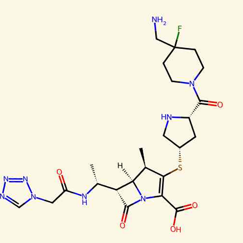 C[C@@H](NC(=O)Cn1cnnn1)[C@H]1C(=O)N2C(C(=O)O)=C(S[C@@H]3CN[C@H](C(=O)N4CCC(F)(CN)CC4)C3)[C@H](C)[C@H]12